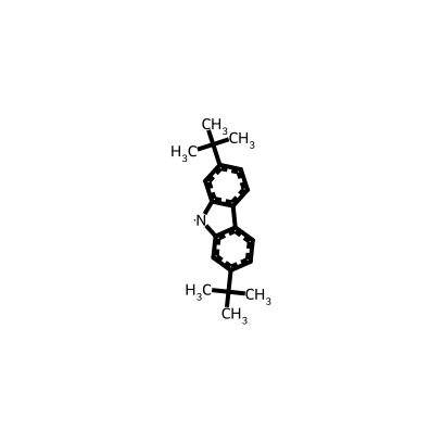 CC(C)(C)c1ccc2c(c1)[N]c1cc(C(C)(C)C)ccc1-2